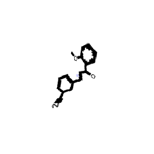 COc1ccccc1C(=O)/C=C/C1=CC=CC(C#N)C1